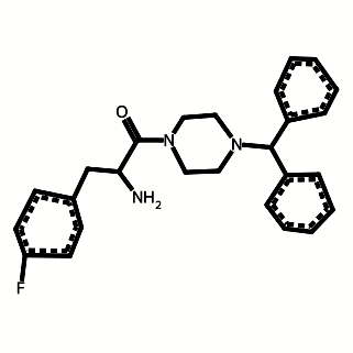 NC(Cc1ccc(F)cc1)C(=O)N1CCN(C(c2ccccc2)c2ccccc2)CC1